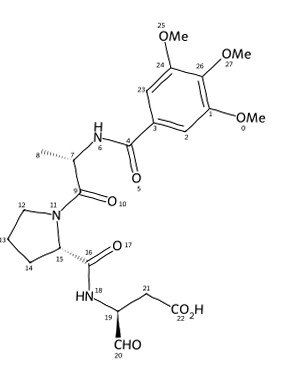 COc1cc(C(=O)N[C@@H](C)C(=O)N2CCC[C@H]2C(=O)N[C@H](C=O)CC(=O)O)cc(OC)c1OC